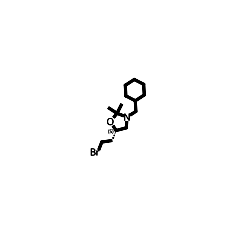 CC1(C)O[C@@H](CCBr)CN1CC1CCCCC1